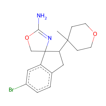 CC1(C2Cc3ccc(Br)cc3C23COC(N)=N3)CCOCC1